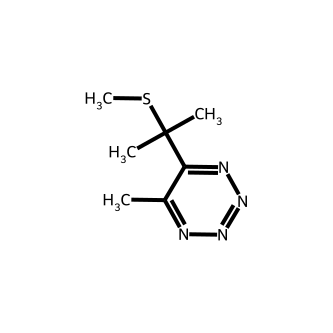 CSC(C)(C)c1nnnnc1C